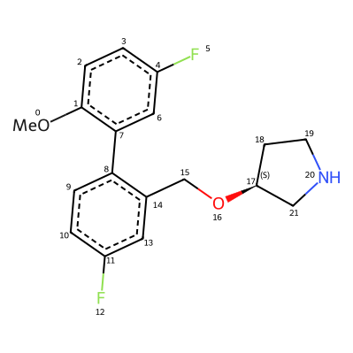 COc1ccc(F)cc1-c1ccc(F)cc1CO[C@H]1CCNC1